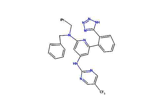 CC(C)CN(Cc1ccccc1)c1cc(Nc2ncc(C(F)(F)F)cn2)cc(-c2ccccc2-c2nnn[nH]2)n1